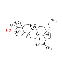 C=C(C)[C@@H]1CC[C@]2(CC[N+](=O)[O-])CC[C@]3(C)[C@H](CC[C@@H]4[C@@]5(C)CC[C@H](O)C(C)(C)[C@@H]5CC[C@]43C)[C@@H]12